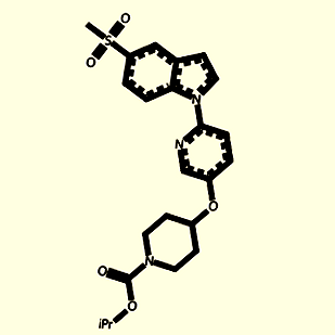 CC(C)OC(=O)N1CCC(Oc2ccc(-n3ccc4cc(S(C)(=O)=O)ccc43)nc2)CC1